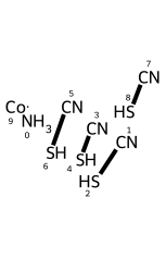 N.N#CS.N#CS.N#CS.N#CS.[Co]